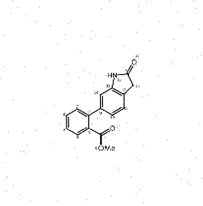 COC(=O)c1ccccc1-c1ccc2c(c1)NC(=O)C2